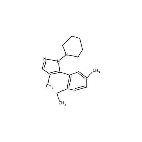 CCc1ccc(C)cc1-c1c(C)cnn1N1CCCCC1